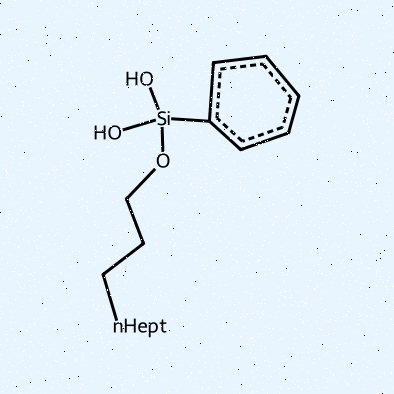 CCCCCCCCCCO[Si](O)(O)c1ccccc1